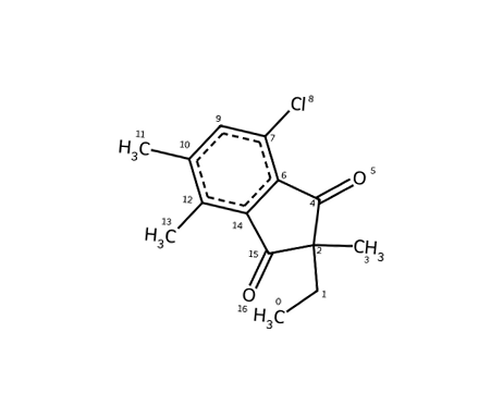 CCC1(C)C(=O)c2c(Cl)cc(C)c(C)c2C1=O